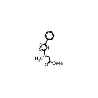 COC(=O)CN(C)c1nc(-c2ccccc2)ns1